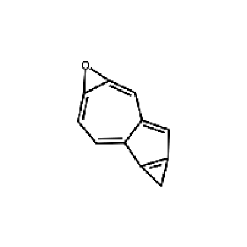 c1c2cc3c(ccc-2c2c1C2)O3